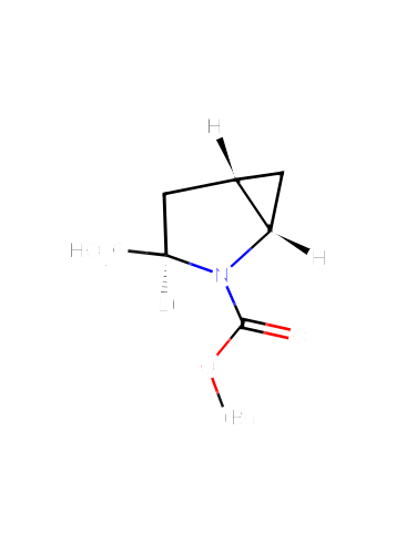 CC[C@]1(C(=O)O)C[C@@H]2C[C@@H]2N1C(=O)OC(C)(C)C